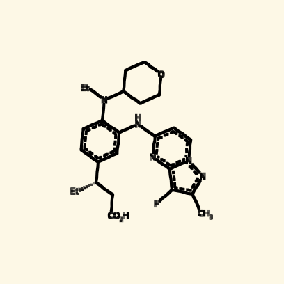 CC[C@@H](CC(=O)O)c1ccc(N(CC)C2CCOCC2)c(Nc2ccn3nc(C)c(F)c3n2)c1